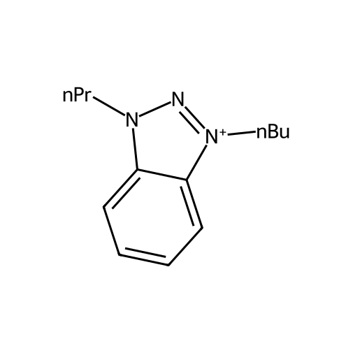 CCCC[n+]1nn(CCC)c2ccccc21